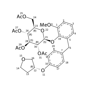 COc1cccc(Cc2ccc(O[C@@H]3CCOC3)cc2)c1O[C@@H]1O[C@H](COC(C)=O)[C@@H](OC(C)=O)[C@H](OC(C)=O)[C@H]1OC(C)=O